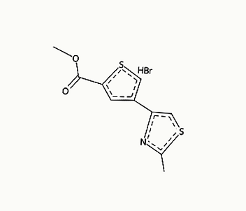 Br.COC(=O)c1cc(-c2csc(C)n2)cs1